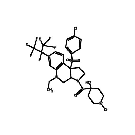 CCN1CC2N(C(=O)C3(O)CC[S+]([O-])CC3)CCC2(S(=O)(=O)c2ccc(Cl)cc2)c2ccc(C(F)(C(F)(F)F)C(F)(F)F)cc21